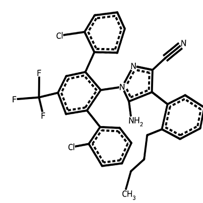 CCCCc1ccccc1-c1c(C#N)nn(-c2c(-c3ccccc3Cl)cc(C(F)(F)F)cc2-c2ccccc2Cl)c1N